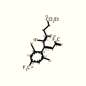 C=C(/C=C(\C(F)=C(/F)CCC(=O)OCC)c1c(C)cc(C(F)(F)F)cc1C)C(F)(F)F